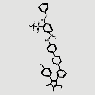 Cc1c(C=O)c(-c2cccc(N3CCN(c4ccc(N[S+]([O-])c5ccc(NSc6ccccc6)c(S(=O)(=O)C(F)(F)F)c5)cc4)CC3)c2)c(-c2ccc(Cl)cc2)n1C